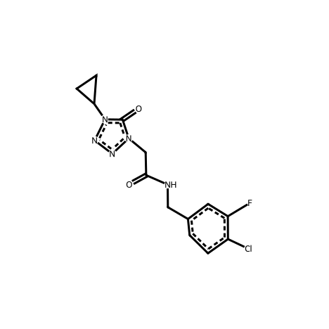 O=C(Cn1nnn(C2CC2)c1=O)NCc1ccc(Cl)c(F)c1